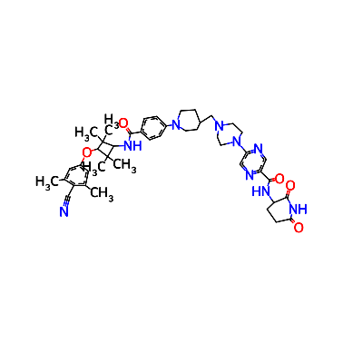 Cc1cc(OC2C(C)(C)C(NC(=O)c3ccc(N4CCC(CN5CCN(c6cnc(C(=O)NC7CCC(=O)NC7=O)cn6)CC5)CC4)cc3)C2(C)C)cc(C)c1C#N